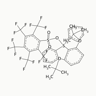 CC(C)(C)Oc1cccc(OC(C)(C)C)c1S(OS(=O)(=O)c1c(C(F)(F)F)c(C(F)(F)F)c(C(F)(F)F)c(C(F)(F)F)c1C(F)(F)F)(c1ccccc1)c1ccccc1